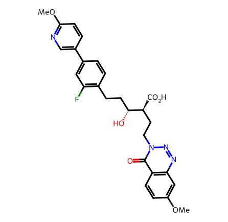 COc1ccc2c(=O)n(CC[C@H](C(=O)O)[C@H](O)CCc3ccc(-c4ccc(OC)nc4)cc3F)nnc2c1